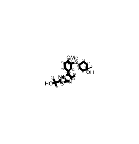 COC1=C(S[C@H]2CC[C@@](C)(O)CC2)CC(c2c(C)nc3sc(C(C)(C)O)nn23)C=C1